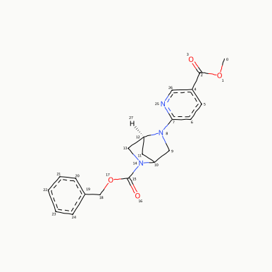 COC(=O)c1ccc(N2CC3C[C@H]2CN3C(=O)OCc2ccccc2)nc1